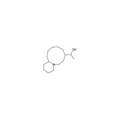 CC(S)C1CCCCCC2CCCCN2CC1